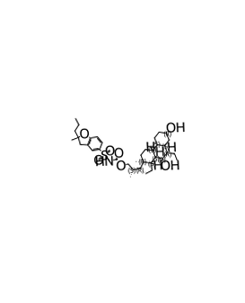 CCCC1(C)Cc2cc(S(=O)(=O)NC(=O)OC[C@@H](C)[C@H]3CC[C@H]4[C@@H]5[C@H](O)[C@H](CC)[C@@H]6C[C@H](O)CC[C@]6(C)[C@H]5CC[C@]34C)ccc2O1